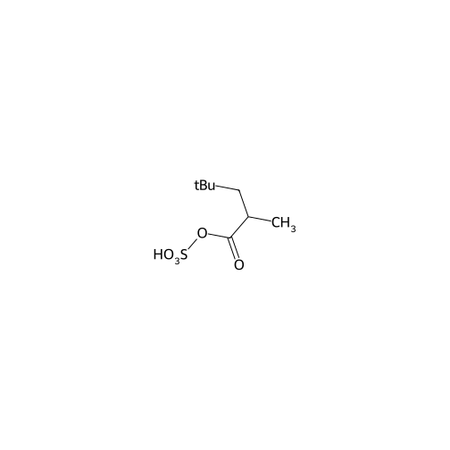 CC(CC(C)(C)C)C(=O)OS(=O)(=O)O